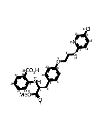 COC(=O)[C@H](Cc1ccc(OCCSc2ccc(Cl)cn2)cc1)Nc1ccccc1C(=O)O